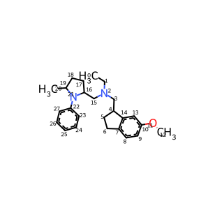 CCN(CC1CCc2ccc(OC)cc21)CC1CCC(C)N1c1ccccc1